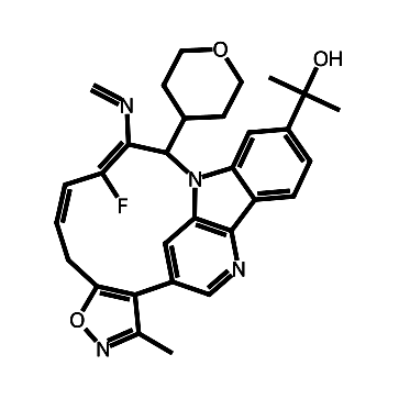 C=N/C1=C(F)\C=C/Cc2onc(C)c2-c2cnc3c4ccc(C(C)(C)O)cc4n(c3c2)C1C1CCOCC1